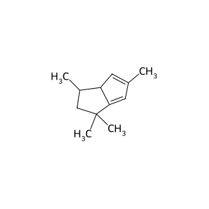 CC1=CC2C(=C1)C(C)(C)CC2C